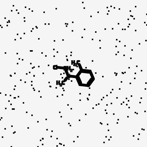 Cc1ccccc1N(C)[SiH2]Cl